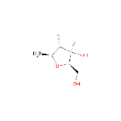 B[C@@H]1O[C@H](CO)[C@](C)(O)[C@H]1C